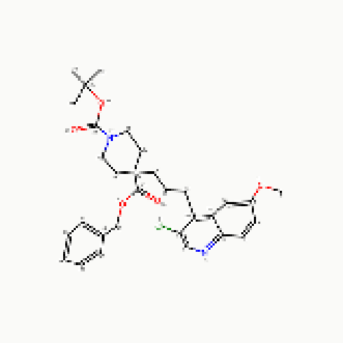 COc1ccc2ncc(Cl)c(CCCC3(C(=O)OCc4ccccc4)CCN(C(=O)OC(C)(C)C)CC3)c2c1